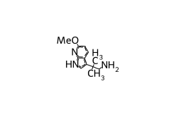 COc1ccc2c(C(C)(C)CN)c[nH]c2n1